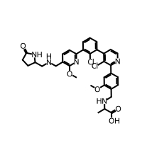 COc1cc(-c2nccc(-c3cccc(-c4ccc(CNCC5CCC(=O)N5)c(OC)n4)c3Cl)c2Cl)ccc1CNC(C)C(=O)O